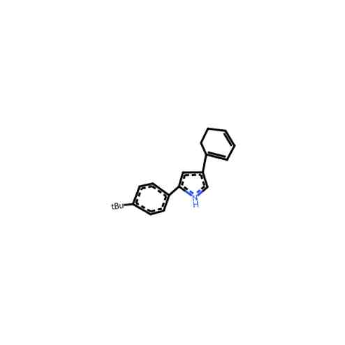 CC(C)(C)c1ccc(-c2cc(C3=CC=CCC3)c[nH]2)cc1